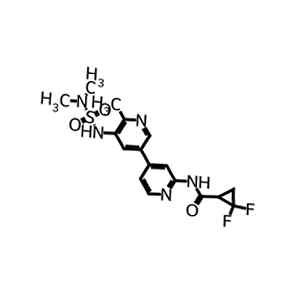 Cc1ncc(-c2ccnc(NC(=O)C3CC3(F)F)c2)cc1NS(=O)(=O)N(C)C